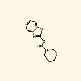 c1ccc2sc(SNN3CCCCC3)nc2c1